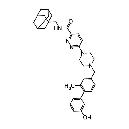 Cc1cc(CN2CCN(c3ccc(C(=O)NCC45CC6CC(CC(C6)C4)C5)nn3)CC2)ccc1-c1cccc(O)c1